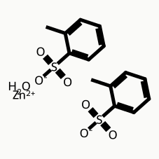 Cc1ccccc1S(=O)(=O)[O-].Cc1ccccc1S(=O)(=O)[O-].O.[Zn+2]